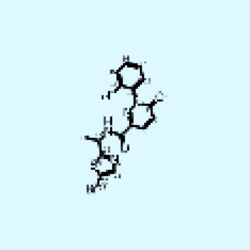 CC(NC(=O)c1ccc(=O)n(-c2ccccc2F)n1)c1ncc(Br)s1